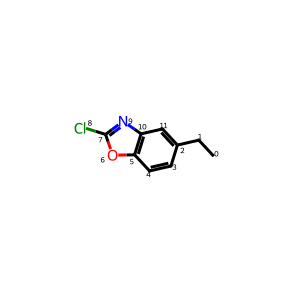 CCc1ccc2oc(Cl)nc2c1